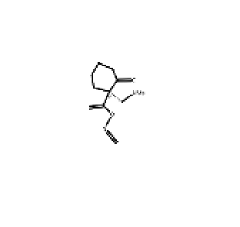 C=NOC(=C)[C@@]1(CNC)CCCCC1=O